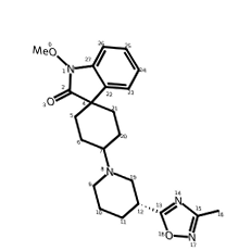 CON1C(=O)C2(CCC(N3CCC[C@@H](c4nc(C)no4)C3)CC2)c2ccccc21